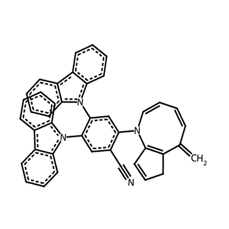 C=C1/C=C\C=C/N(c2cc(-n3c4ccccc4c4ccccc43)c(-n3c4ccccc4c4ccccc43)cc2C#N)C2=C1CC=C2